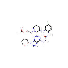 C[C@@H](Nc1ncnc2c1ncn2[C@@H]1CCCCO1)C(=O)Nc1ccc(F)cc1NC1CCCN(CCOC(=O)C(C)(C)C)C1